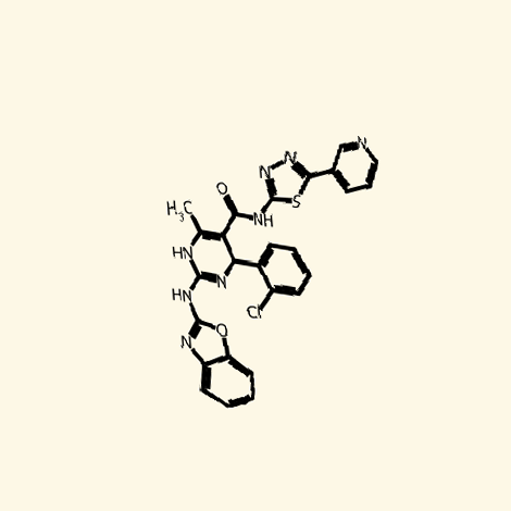 CC1=C(C(=O)Nc2nnc(-c3cccnc3)s2)C(c2ccccc2Cl)N=C(Nc2nc3ccccc3o2)N1